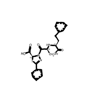 C[C@H](N[C@@H](CCc1ccccc1)C(=O)O)C(=O)N1N=C(c2ccccc2)S[C@H]1C(=O)O